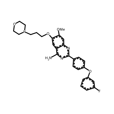 COc1cc2nc(-c3ccc(Oc4cccc(F)c4)cc3)nc(N)c2cc1OCCCN1CCOCC1